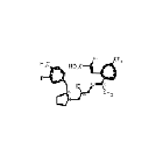 CCC(=Cc1cc(C(F)(F)F)ccc1[C@@H](C)OC[C@H](O)CN1CCC[C@H]1Cc1ccc(C)c(F)c1)C(=O)O